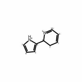 C1=CCC(c2ccc[nH]2)N=C1